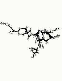 COCC(=O)N1CCC2(CC1)CN(c1nc(Nc3cc(C)n[nH]3)c3cc(OC)c(OC)cc3n1)C2